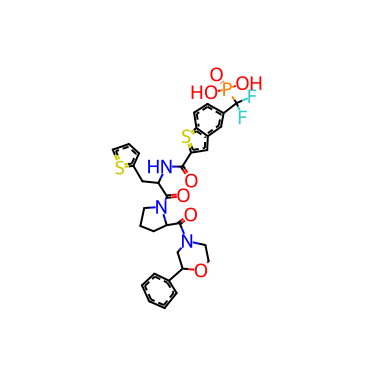 O=C(NC(Cc1cccs1)C(=O)N1CCCC1C(=O)N1CCOC(c2ccccc2)C1)c1cc2cc(C(F)(F)P(=O)(O)O)ccc2s1